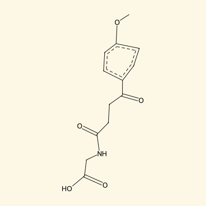 COc1ccc(C(=O)CCC(=O)NCC(=O)O)cc1